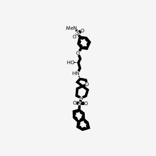 CNS(=O)(=O)c1cccc(OC[C@@H](O)CN[C@@H]2COC3(CCN(S(=O)(=O)c4ccc5ccccc5c4)CC3)C2)c1